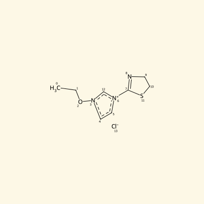 CCOn1cc[n+](C2=NCCS2)c1.[Cl-]